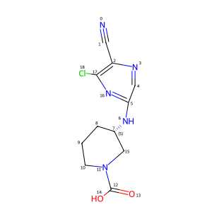 N#Cc1ncc(N[C@H]2CCCN(C(=O)O)C2)nc1Cl